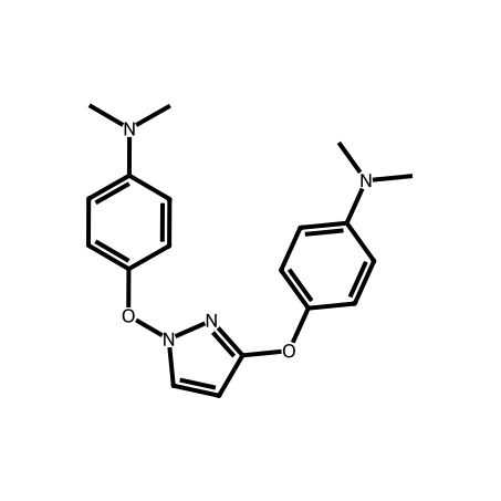 CN(C)c1ccc(Oc2ccn(Oc3ccc(N(C)C)cc3)n2)cc1